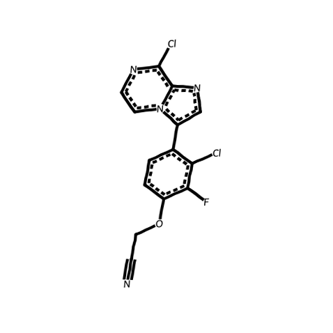 N#CCOc1ccc(-c2cnc3c(Cl)nccn23)c(Cl)c1F